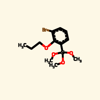 CCCOc1c(Br)cccc1[Si](OC)(OC)OC